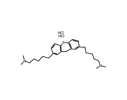 CN(C)CCCCCc1ccc2c(c1)Cc1cc(CCCCCN(C)C)ccc1S2.Cl.Cl